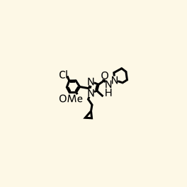 COc1ccc(Cl)cc1-c1nc(C(=O)NN2CCCCC2)c(C)n1CCC1CC1